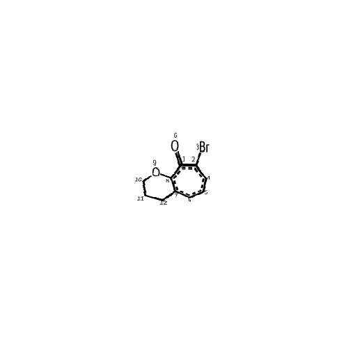 O=c1c(Br)cccc2c1OCCC2